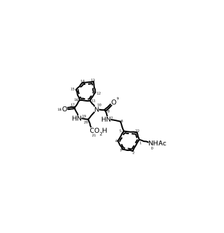 CC(=O)Nc1cccc(CNC(=O)N2c3ccccc3C(=O)NC2C(=O)O)c1